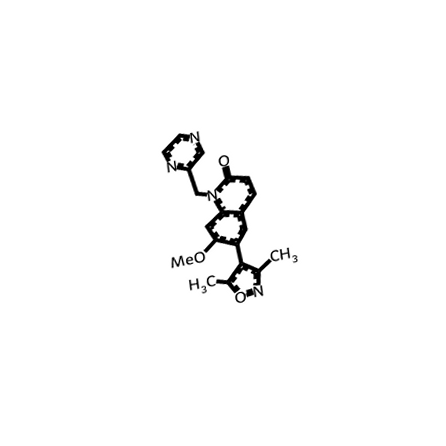 COc1cc2c(ccc(=O)n2Cc2cnccn2)cc1-c1c(C)noc1C